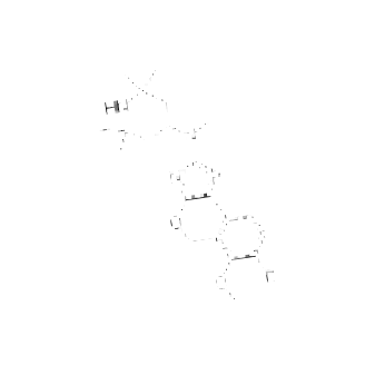 COc1c(Cl)ccc2c1COc1nc(N(C)C3CC(C)(C)NC(C)(C)C3)sc1-2